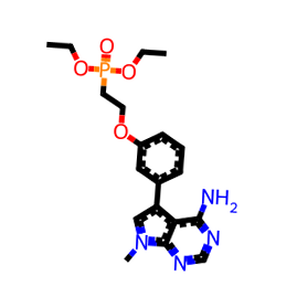 CCOP(=O)(CCOc1cccc(-c2cn(C)c3ncnc(N)c23)c1)OCC